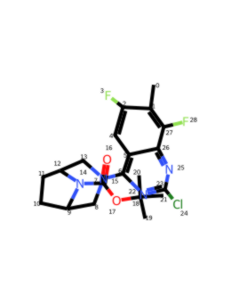 Cc1c(F)cc2c(N3CC4CCC(C3)N4C(=O)OC(C)(C)C)nc(Cl)nc2c1F